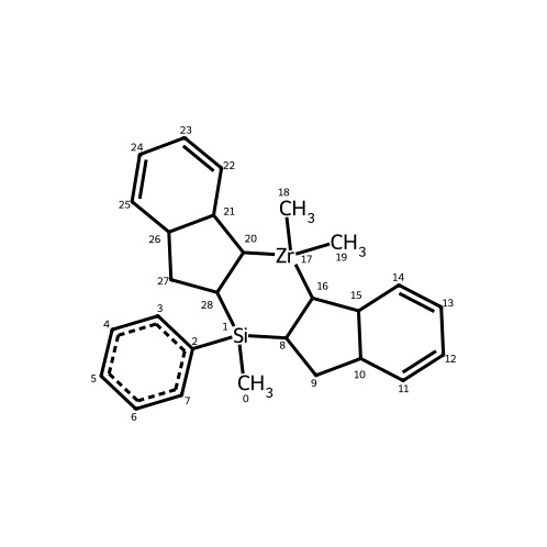 C[Si]1(c2ccccc2)C2CC3C=CC=CC3[CH]2[Zr]([CH3])([CH3])[CH]2C3C=CC=CC3CC21